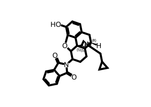 O=C1c2ccccc2C(=O)N1C1CC[C@@]2(O)[C@H]3Cc4ccc(O)c5c4[C@@]2(CCN3CC2CC2)C1O5